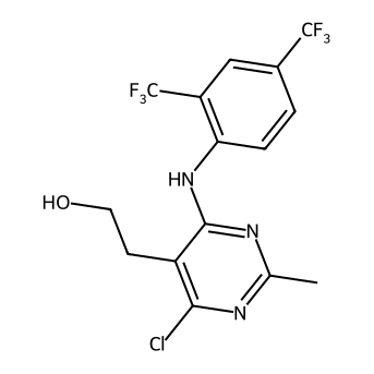 Cc1nc(Cl)c(CCO)c(Nc2ccc(C(F)(F)F)cc2C(F)(F)F)n1